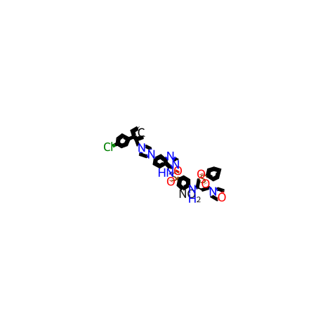 O=[N+]([O-])c1cc(S(=O)(=O)Nc2ncnc3cc(N4CCN(Cc5ccccc5-c5ccc(Cl)cc5)CC4)ccc23)ccc1N[C@H](CCN1CCOCC1)CS(=O)(=O)c1ccccc1